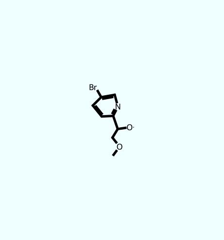 COCC([O])c1ccc(Br)cn1